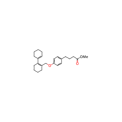 COC(=O)CCCc1ccc(OCC2=C(C3=CCCCC3)CCCC2)cc1